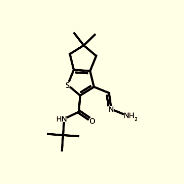 CC1(C)Cc2sc(C(=O)NC(C)(C)C)c(/C=N/N)c2C1